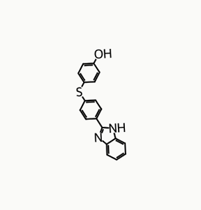 Oc1ccc(Sc2ccc(-c3nc4ccccc4[nH]3)cc2)cc1